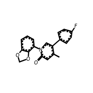 Cc1cc(=O)n(-c2cccc3c2OCO3)cc1-c1ccc(F)cc1